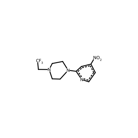 O=[N+]([O-])c1ccnc(N2CCN(CC(F)(F)F)CC2)c1